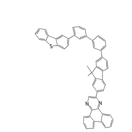 CC1(C)c2cc(-c3cccc(-c4cccc(-c5ccc6sc7ccccc7c6c5)c4)c3)ccc2-c2ccc(-c3cnc4c5ccccc5c5ccccc5c4n3)cc21